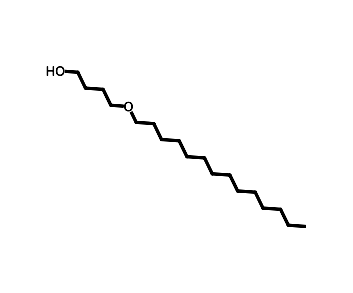 CCCCCCCCCCCCCCOCCCCO